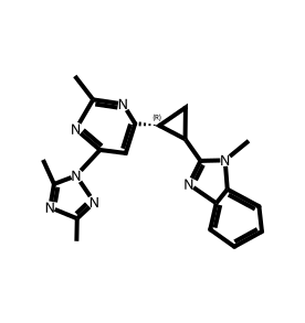 Cc1nc([C@@H]2CC2c2nc3ccccc3n2C)cc(-n2nc(C)nc2C)n1